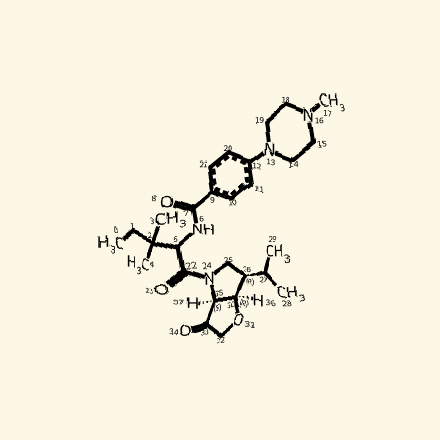 CCC(C)(C)C(NC(=O)c1ccc(N2CCN(C)CC2)cc1)C(=O)N1C[C@@H](C(C)C)[C@H]2OCC(=O)[C@H]21